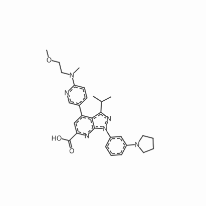 COCCN(C)c1ccc(-c2cc(C(=O)O)nc3c2c(C(C)C)nn3-c2cccc(N3CCCC3)c2)cn1